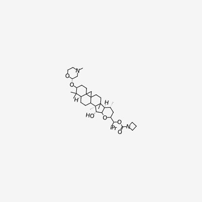 CC(C)C(OC(=O)N1CCC1)C1C[C@@H](C)[C@H]2C(O1)[C@H](O)[C@@]1(C)C3CC[C@H]4C(C)(C)C(O[C@H]5CN(C)CCO5)CCC45CC35CCC21C